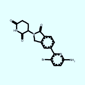 Nc1ccc(Br)c(-c2ccc3c(c2)CN(C2CCC(=O)NC2=O)C3=O)n1